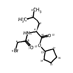 CC(C)C[C@H](NC(=O)CBr)C(=O)OC1CCCC1